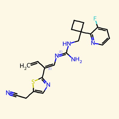 C=C/C(=C\N=C(/N)NCC1(c2ncccc2F)CCC1)c1ncc(CC#N)s1